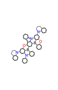 c1ccc(N2c3ccccc3B3c4cc5c6c(c4Oc4cc(N7CCCc8ccccc87)cc2c43)c2ccccc2n6-c2cc(N3CCCc4ccccc43)cc3c2B5c2ccccc2O3)cc1